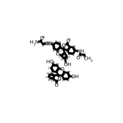 C=CC(=O)Nc1ccc2c(c1)C(=O)OC21c2ccc(O)cc2Oc2cc(O)ccc21.C=CC(N)=O.O=C1OC2(c3ccc(O)cc3Oc3cc(O)ccc32)c2ccccc21